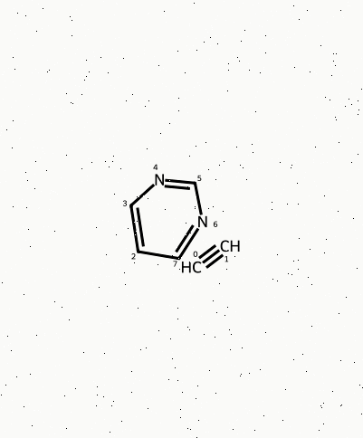 C#C.c1cncnc1